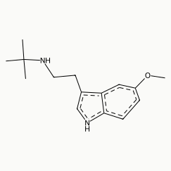 COc1ccc2[nH]cc(CCNC(C)(C)C)c2c1